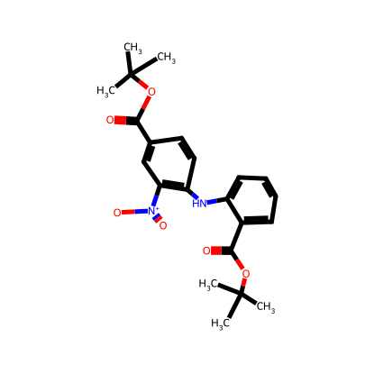 CC(C)(C)OC(=O)c1ccc(Nc2ccccc2C(=O)OC(C)(C)C)c([N+](=O)[O-])c1